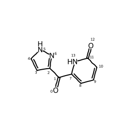 O=C(c1cc[nH]n1)c1cccc(=O)[nH]1